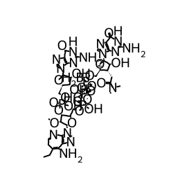 BP(=O)(OC[C@H]1O[C@@H](n2cnc3c(=O)[nH]c(N)nc32)[C@H](O)[C@@H]1CC(=O)N(C)C)OP(=O)(O)OP(=O)(O)OCC1O[C@@H](n2cnc3c2N=CCC(CC)=C3N)[C@H](OC)[C@@H]1OP(=O)(O)OC[C@H]1O[C@@H](n2cnc3c(=O)[nH]c(N)nc32)[C@H](O)[C@@H]1O